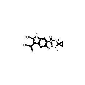 CC1(NS(=O)(=O)c2cc3[nH]c(N)c(C(N)=O)c3cc2F)CC1